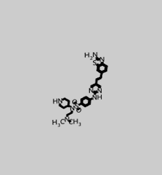 CN(C)CCN(C1CCNCC1)S(=O)(=O)c1ccc(Nc2ncc(C=Cc3ccc4nc(N)sc4c3)cn2)cc1